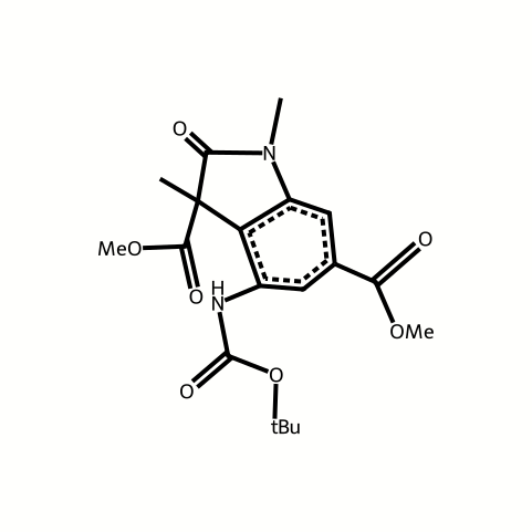 COC(=O)c1cc(NC(=O)OC(C)(C)C)c2c(c1)N(C)C(=O)C2(C)C(=O)OC